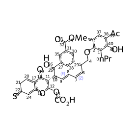 CCCc1c(OCC/C=C\C=C\[C@H](c2c(OC(=O)O)oc3c(c2=O)=CCC(=S)C=3)[C@H](O)c2cccc(C(=O)OC)c2)ccc(C(C)=O)c1O